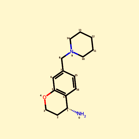 N[C@@H]1CCOc2cc(CN3CCCCC3)ccc21